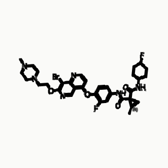 C[C@@H]1CC1(C(=O)Nc1ccc(Oc2ccnc3c(Br)c(OCCN4CCN(C)CC4)ncc23)c(F)c1)C(=O)NC1CCC(F)CC1